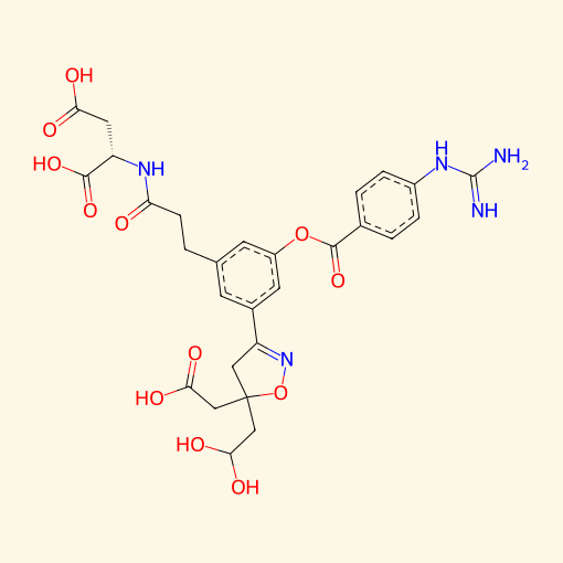 N=C(N)Nc1ccc(C(=O)Oc2cc(CCC(=O)N[C@@H](CC(=O)O)C(=O)O)cc(C3=NOC(CC(=O)O)(CC(O)O)C3)c2)cc1